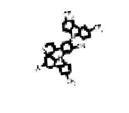 N#Cc1cc(-n2c3ccc(C(F)(F)F)cc3c3cc(C(F)(F)F)ccc32)c(-c2ccncc2)cc1-n1c2ccc(C(F)(F)F)cc2c2cc(C(F)(F)F)ccc21